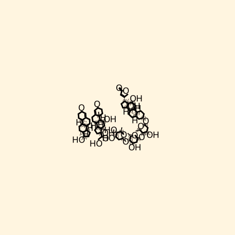 C[C@H]1O[C@@H](O[C@H]2[C@@H](O)C[C@H](O[C@H]3[C@@H](O)C[C@H](O[C@H]4CC[C@@]5(C)[C@H](CC[C@@H]6[C@@H]5C[C@@H](O)[C@]5(C)[C@@H](C7=CC(=O)OC7)CC[C@]65O)C4)O[C@@H]3C)O[C@@H]2C)C[C@H](O)[C@@H]1O.C[C@]12CCC(=O)C=C1CC[C@@H]1[C@@H]2[C@@H](O)C[C@@]2(C)[C@H]1CC[C@]2(O)C(=O)CO.C[C@]12CC[C@H]3[C@@H](CCC4=CC(=O)CC[C@@]43C)[C@@H]1CC[C@@H]2O